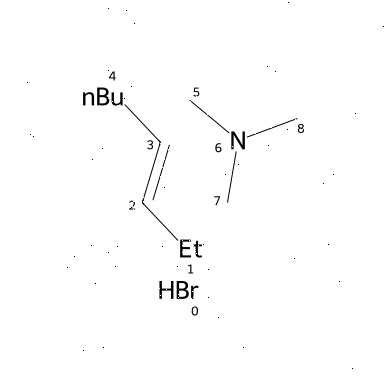 Br.CCC=CCCCC.CN(C)C